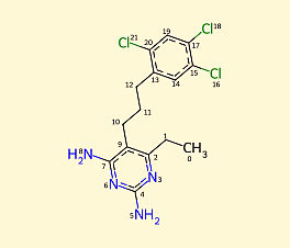 CCc1nc(N)nc(N)c1CCCc1cc(Cl)c(Cl)cc1Cl